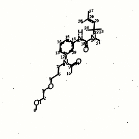 COCCOCCCN(C(C)=O)c1cccc(NC(=O)N(C)C(C)(C)C=C(C)C)c1